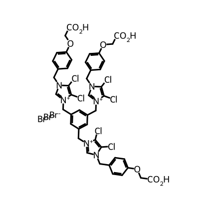 O=C(O)COc1ccc(Cn2c[n+](Cc3cc(C[n+]4cn(Cc5ccc(OCC(=O)O)cc5)c(Cl)c4Cl)cc(C[n+]4cn(Cc5ccc(OCC(=O)O)cc5)c(Cl)c4Cl)c3)c(Cl)c2Cl)cc1.[Br-].[Br-].[Br-]